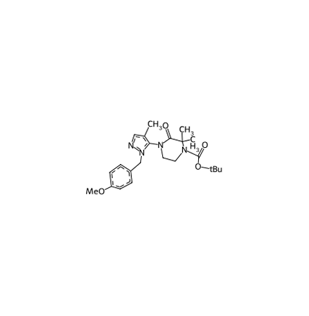 COc1ccc(Cn2ncc(C)c2N2CCN(C(=O)OC(C)(C)C)C(C)(C)C2=O)cc1